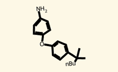 CCCCC(C)(C)c1ccc(Oc2ccc(N)cc2)cc1